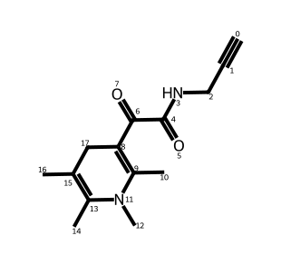 C#CCNC(=O)C(=O)C1=C(C)N(C)C(C)=C(C)C1